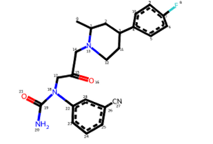 CC1CC(c2ccc(F)cc2)CCN1CC(=O)CN(C(N)=O)c1cccc(C#N)c1